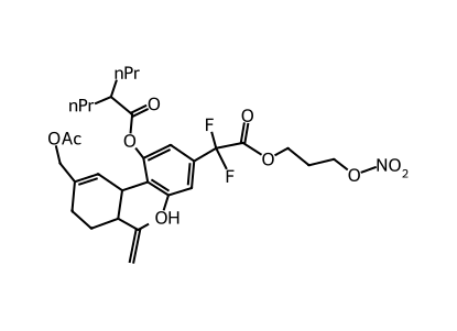 C=C(C)C1CCC(COC(C)=O)=CC1c1c(O)cc(C(F)(F)C(=O)OCCCO[N+](=O)[O-])cc1OC(=O)C(CCC)CCC